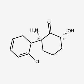 N[C@@]1(C2CC=CC=C2Cl)CCC[C@@H](O)C1=O